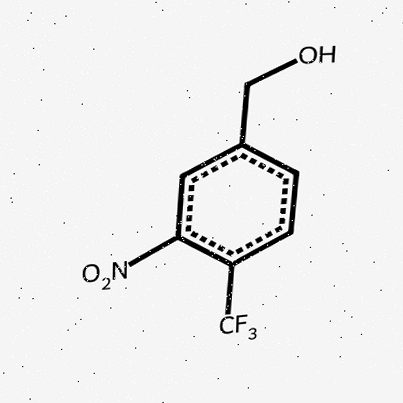 O=[N+]([O-])c1cc(CO)ccc1C(F)(F)F